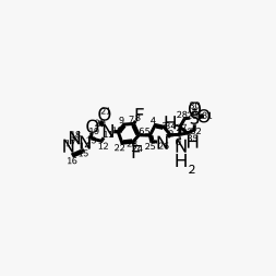 N[C@]1(c2ccc(-c3c(F)cc(N4CC(n5ccnn5)OC4=O)cc3F)cn2)[C@@H]2CS(=O)(=O)C[C@@H]21